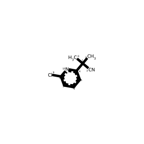 CC(C)(C#N)c1c[c]cc(Cl)n1